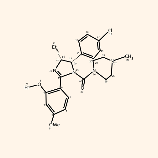 CCOc1cc(OC)ccc1C1=N[C@H](CC)[C@H](c2ccc(Cl)cc2)N1C(=O)N1CCN(C)CC1